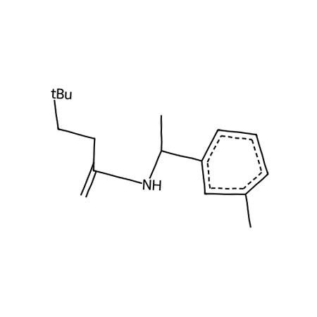 C=C(CCC(C)(C)C)NC(C)c1cccc(C)c1